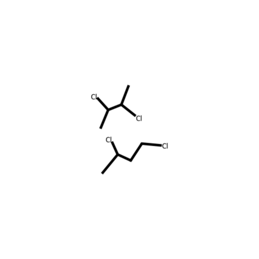 CC(Cl)C(C)Cl.CC(Cl)CCCl